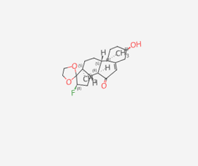 C[C@]12CC[C@@H](O)CC1=CC(=O)[C@@H]1[C@@H]2CC[C@@]2(C)[C@H]1C[C@@H](F)C21OCCO1